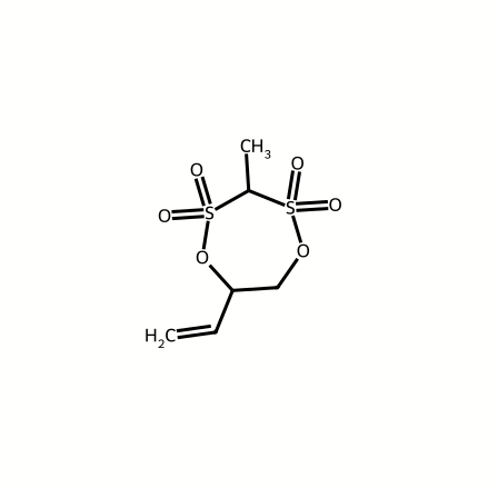 C=CC1COS(=O)(=O)C(C)S(=O)(=O)O1